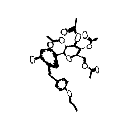 CCOc1ccc(Cc2cc([C@@H]3O[C@H](COC(C)=O)[C@@H](OC(C)=O)C(OC(C)=O)[C@H]3OC(C)=O)ccc2Cl)cc1